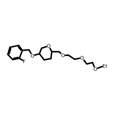 CCOCCOCCOCC1CCC(OCc2ccccc2F)CO1